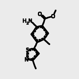 COC(=O)c1cc(C)c(-c2cc(C)ns2)cc1N